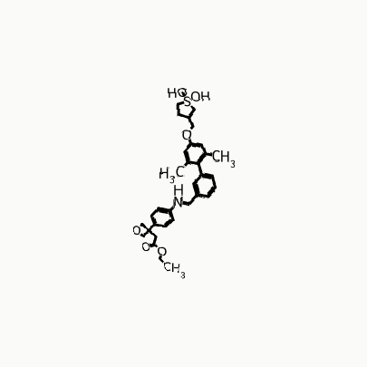 CCOC(=O)CC1(c2ccc(NCc3cccc(-c4c(C)cc(OCC5CCS(O)(O)C5)cc4C)c3)cc2)COC1